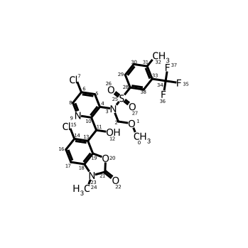 COCN(c1cc(Cl)cnc1C(O)c1c(Cl)ccc2c1oc(=O)n2C)S(=O)(=O)c1ccc(C)c(C(F)(F)F)c1